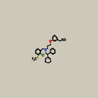 O=NCc1cccc(OCCCN(Cc2cccc(SC(F)(F)F)c2Cl)CC(C2=CCCC=C2)c2ccccc2)c1